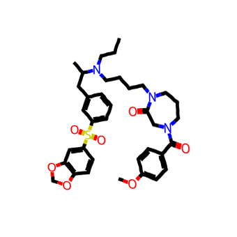 CCCN(CCCCN1CCCN(C(=O)c2ccc(OC)cc2)CC1=O)C(C)Cc1cccc(S(=O)(=O)c2ccc3c(c2)OCO3)c1